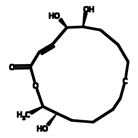 C[C@H]1OC(=O)/C=C/[C@@H](O)[C@@H](O)CCCCCCCC[C@@H]1O